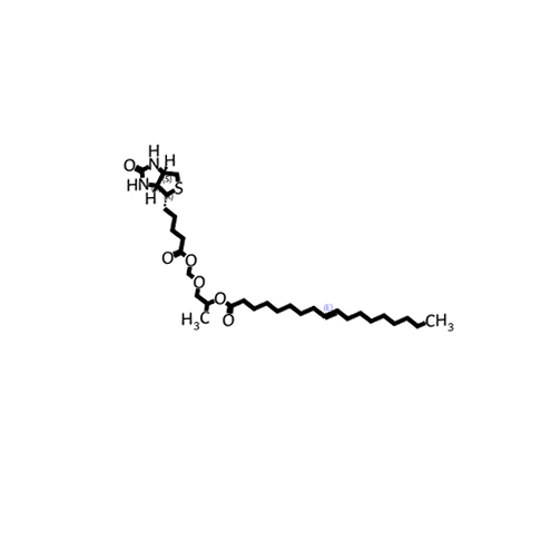 CCCCCCCC/C=C/CCCCCCCC(=O)OC(C)COCOC(=O)CCCC[C@H]1SC[C@H]2NC(=O)N[C@H]21